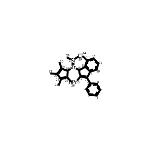 CCCC1=C(c2ccccc2)c2cccc(Cl)c2[CH]1[Zr]([CH]1C(C)=C(C)C(C)=C1C)=[Si](C)C